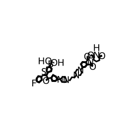 O=C1CCC(N2C(=O)c3ccc(N4CCN(CCCN5CCN(c6ccc(C(=O)c7c(-c8ccc(F)cc8)sc8cc(B(O)O)ccc78)cc6)CC5)CC4)cc3C2=O)C(=O)N1